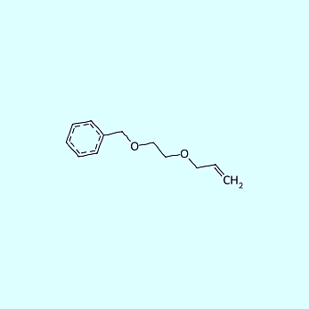 C=CCOCCOCc1ccccc1